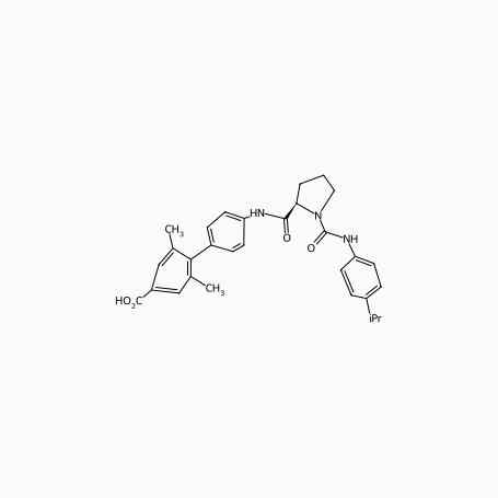 Cc1cc(C(=O)O)cc(C)c1-c1ccc(NC(=O)[C@H]2CCCN2C(=O)Nc2ccc(C(C)C)cc2)cc1